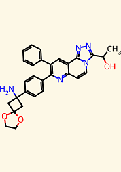 CC(O)c1nnc2c3cc(-c4ccccc4)c(-c4ccc(C5(N)CC6(C5)OCCO6)cc4)nc3ccn12